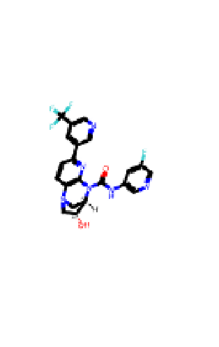 O=C(Nc1cncc(F)c1)N1c2nc(-c3cncc(C(F)(F)F)c3)ccc2N2C[C@@H](O)[C@H]1C2